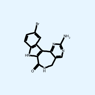 Nc1ncc2c(n1)-c1c([nH]c3ccc(Br)cc13)C(=O)NC2